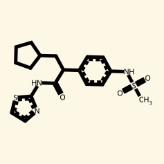 CS(=O)(=O)Nc1ccc(C(CC2CCCC2)C(=O)Nc2nccs2)cc1